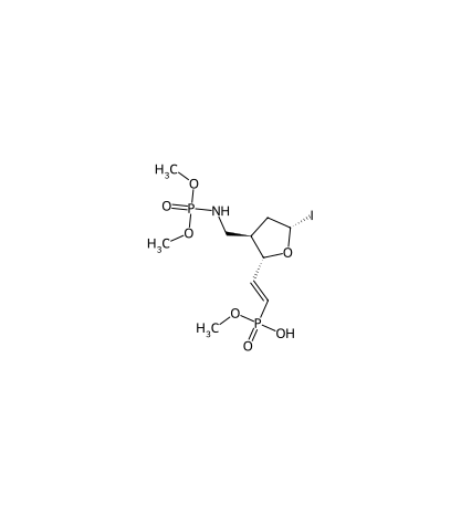 COP(=O)(O)/C=C/[C@H]1O[C@@H](I)C[C@@H]1CNP(=O)(OC)OC